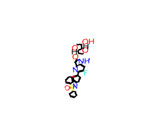 O=S(=Nc1ccc(-c2nc3cc(O[C@@H]4CO[C@H]5[C@@H]4OC[C@H]5O)[nH]c3cc2F)cc1)(c1ccccc1)c1ccccc1